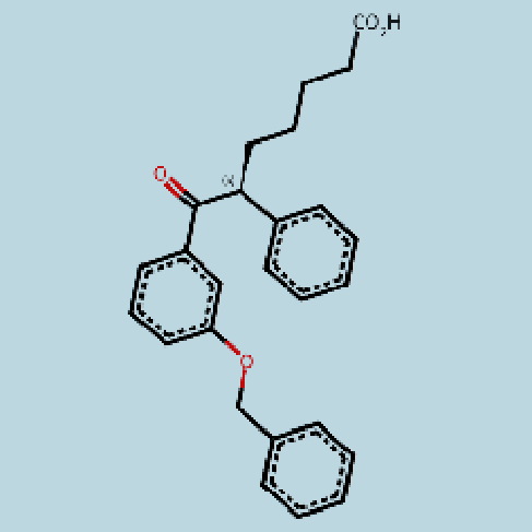 O=C(O)CCCC[C@H](C(=O)c1cccc(OCc2ccccc2)c1)c1ccccc1